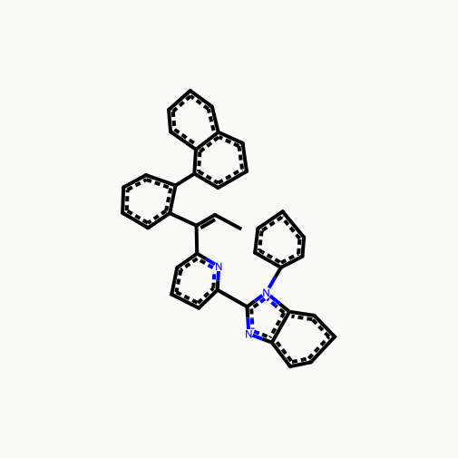 CC=C(c1cccc(-c2nc3ccccc3n2-c2ccccc2)n1)c1ccccc1-c1cccc2ccccc12